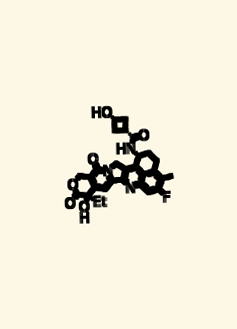 CC[C@@]1(O)C(=O)OCc2c1cc1n(c2=O)Cc2c-1nc1cc(F)c(C)c3c1c2[C@@H](NC(=O)[C@H]1C[C@@H](O)C1)CC3